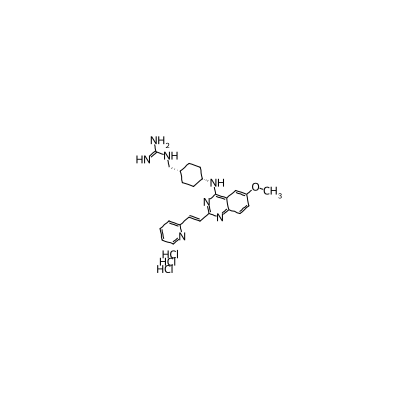 COc1ccc2nc(C=Cc3ccccn3)nc(N[C@H]3CC[C@@H](CNC(=N)N)CC3)c2c1.Cl.Cl.Cl